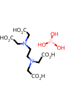 O=C(O)CN(CCN(CC(=O)O)CC(=O)O)CC(=O)O.OB(O)O